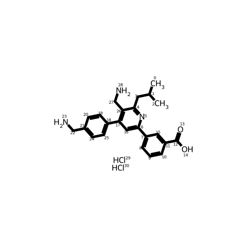 CC(C)Cc1nc(-c2cccc(C(=O)O)c2)cc(-c2ccc(CN)cc2)c1CN.Cl.Cl